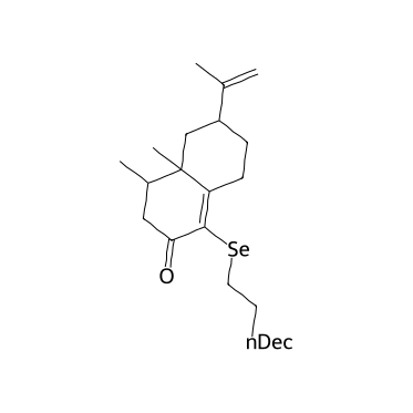 C=C(C)C1CCC2=C([Se]CCCCCCCCCCCC)C(=O)CC(C)C2(C)C1